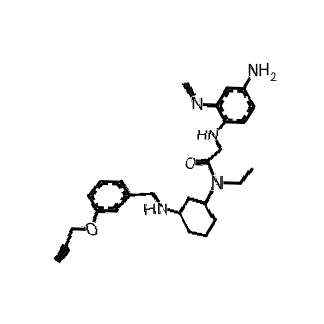 C#CCOc1cccc(CNC2CCCC(N(CC)C(=O)CNc3ccc(N)cc3N=C)C2)c1